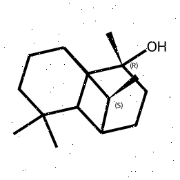 C[C@H]1C2CC[C@@](C)(O)C3C1CCC(C)(C)C23